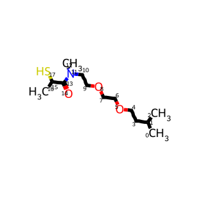 CC(C)CCOCCOCCN(C)C(=O)C(C)S